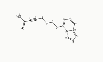 O=C(O)C#CCCCCc1cccc2cncn12